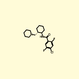 O=C(N[C@@H]1CCCC[C@H]1CN1CCCCC1)c1cc(F)c(Cl)cc1F